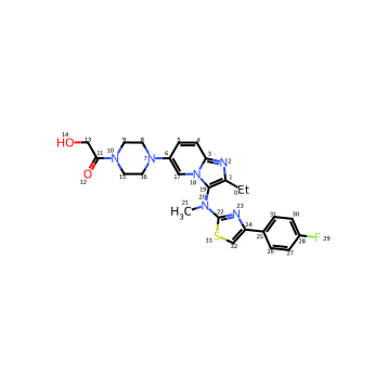 CCc1nc2ccc(N3CCN(C(=O)CO)CC3)cn2c1N(C)c1nc(-c2ccc(F)cc2)cs1